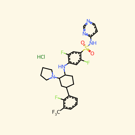 Cl.O=S(=O)(Nc1ccncn1)c1cc(F)c(NC2CCC(c3cccc(C(F)(F)F)c3F)CC2N2CCCC2)cc1F